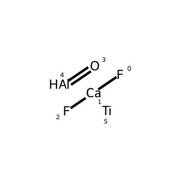 [F][Ca][F].[O]=[AlH].[Ti]